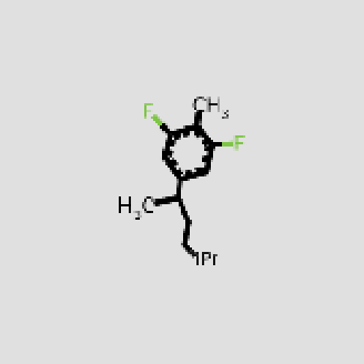 Cc1c(F)cc(C(C)CCC(C)C)cc1F